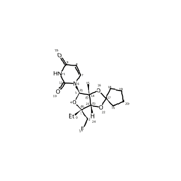 CC[C@@]1(CF)O[C@@H](n2ccc(=O)[nH]c2=O)[C@]2(C)OC3(CCCC3)O[C@H]12